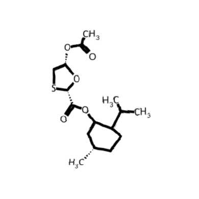 CC(=O)O[C@H]1CS[C@@H](C(=O)OC2C[C@@H](C)CCC2C(C)C)O1